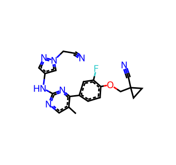 Cc1cnc(Nc2cnn(CC#N)c2)nc1-c1ccc(OCC2(C#N)CC2)c(F)c1